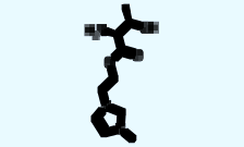 C[C@@H](O)[C@H](N)C(=O)OCCN1C=CN(C)C1